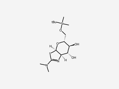 CN(C)C1=N[C@@H]2[C@@H](O)[C@H](O)[C@@H](CO[Si](C)(C)C(C)(C)C)O[C@@H]2S1